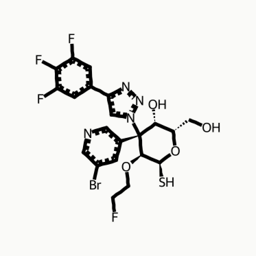 OC[C@@H]1O[C@@H](S)[C@@H](OCCF)[C@](c2cncc(Br)c2)(n2cc(-c3cc(F)c(F)c(F)c3)nn2)[C@@H]1O